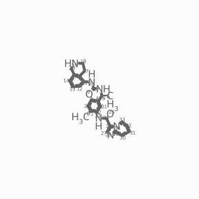 Cc1ccc([C@H](C)NC(=O)Nc2cccc3c2CCNC3)cc1NC(=O)c1cnc2ccccn12